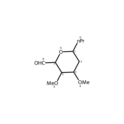 CCCC1CC(OC)C(OC)C(C=O)O1